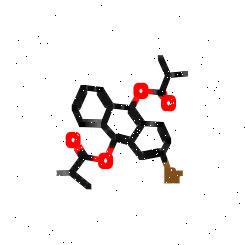 CC(C)C(=O)Oc1c2ccccc2c(OC(=O)C(C)C)c2cc(Br)ccc12